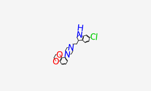 Clc1ccc2c(c1)NCC2CCN1CCN(c2cccc3c2OCCO3)CC1